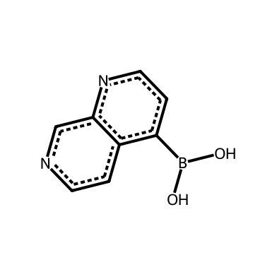 OB(O)c1ccnc2cnccc12